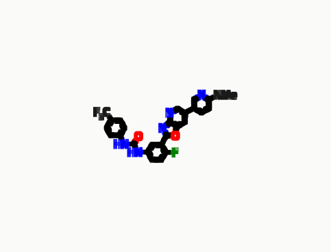 CNc1ccc(-c2cnc3nc(-c4cc(NC(=O)Nc5ccc(C(F)(F)F)cc5)ccc4F)oc3c2)cn1